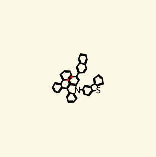 c1cc(-c2ccc3ccccc3c2)cc(N(c2ccc3sc4ccccc4c3c2)c2ccccc2-c2cc3ccccc3c3ccccc23)c1